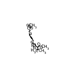 COC(=O)C(c1cc(OCC#CCOCCOS(C)(=O)=O)no1)C(C)C